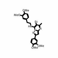 CCc1c(C)nc2cc(-c3ccc(OC)c(OC)c3)nn2c1NCCc1ccc(OC)c(OC)c1